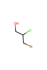 OCC(Cl)CBr